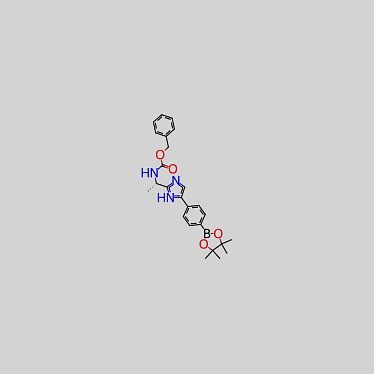 C[C@H](NC(=O)OCc1ccccc1)c1ncc(-c2ccc(B3OC(C)(C)C(C)(C)O3)cc2)[nH]1